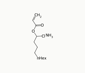 C=CC(=O)OC(Cl)CCCCCCCCC.N